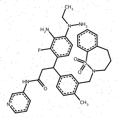 CCN(N)c1ccc(C(CC(=O)Nc2cccnc2)c2ccc(C)c(CN3CCCc4ccccc4S3(=O)=O)c2)c(F)c1N